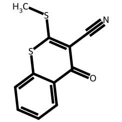 CSc1sc2ccccc2c(=O)c1C#N